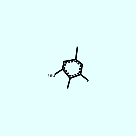 Cc1cc(F)c(C)c(C(C)(C)C)c1